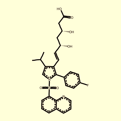 CC(C)c1cn(S(=O)(=O)c2cccc3cccnc23)c(-c2ccc(F)cc2)c1/C=C/[C@@H](O)C[C@@H](O)CC(=O)O